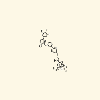 CC(C)(C)OC(=O)NCCCc1cnc(-c2cccc(Cn3nc(-c4cc(F)c(F)c(F)c4)ccc3=O)c2)nc1